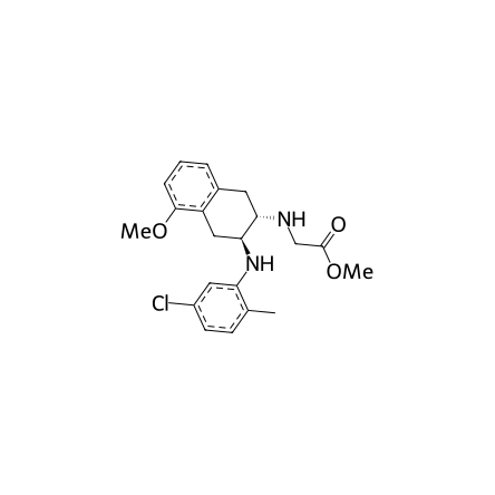 COC(=O)CN[C@H]1Cc2cccc(OC)c2C[C@@H]1Nc1cc(Cl)ccc1C